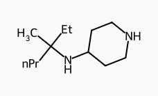 CCCC(C)(CC)NC1CCNCC1